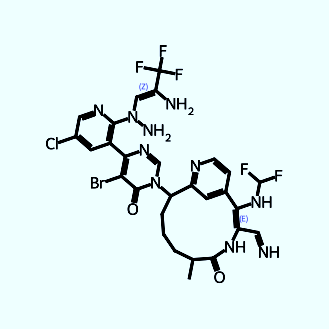 CC1CCCC(n2cnc(-c3cc(Cl)cnc3N(N)/C=C(\N)C(F)(F)F)c(Br)c2=O)c2cc(ccn2)/C(NC(F)F)=C(/C=N)NC1=O